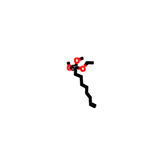 C=CCCCCCC[Si](OC)(OC)OCC